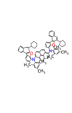 Cc1cc(C)c(N(c2ccc3ccc4c(N(c5c(C)cc(C)cc5C)c5cccc6c5oc5c(C7CCCCC7)cc7ccccc7c56)ccc5ccc2c3c54)c2cccc3c2oc2c(C4CCCCC4)cc4ccccc4c23)c(C)c1